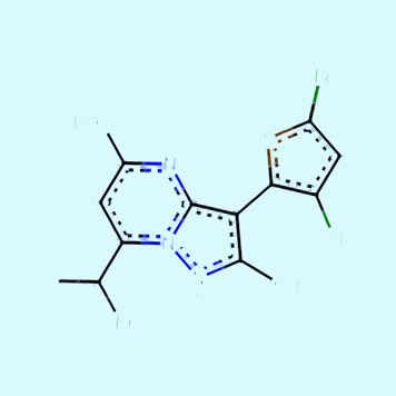 CCC(CC)c1cc(C)nc2c(-c3sc(Br)cc3Cl)c(C)nn12